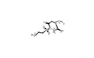 CN(CC(=O)OS(=O)(=O)CCN)C(=N)N